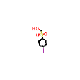 O=S(=O)(CO)c1ccc(I)cc1